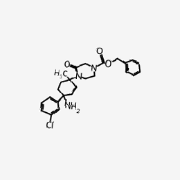 CC1(N2CCN(C(=O)OCc3ccccc3)CC2=O)CCC(N)(c2cccc(Cl)c2)CC1